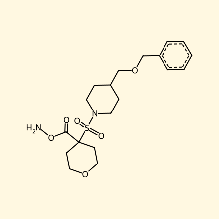 NOC(=O)C1(S(=O)(=O)N2CCC(COCc3ccccc3)CC2)CCOCC1